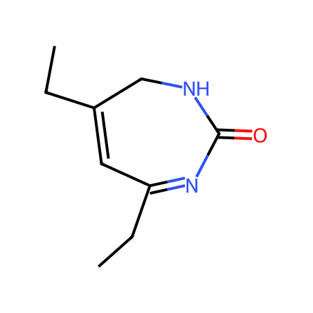 CCC1=CC(CC)=NC(=O)NC1